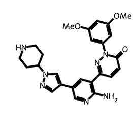 COc1cc(OC)cc(-n2nc(-c3cc(-c4cnn(C5CCNCC5)c4)cnc3N)ccc2=O)c1